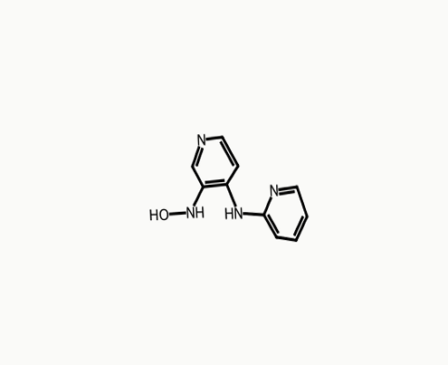 ONc1cnccc1Nc1ccccn1